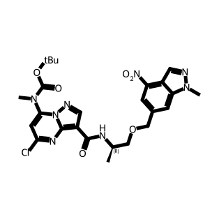 C[C@H](COCc1cc([N+](=O)[O-])c2cnn(C)c2c1)NC(=O)c1cnn2c(N(C)C(=O)OC(C)(C)C)cc(Cl)nc12